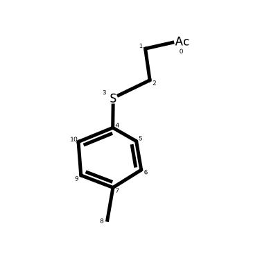 CC(=O)CCSc1ccc(C)cc1